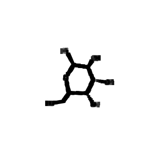 OCC1O[C@@H](S)[C@@H](O)[C@H](O)[C@@H]1O